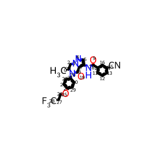 C[C@H]1Cn2ncc(NC(=O)c3cccc(C#N)c3)c2C(=O)N1c1ccc(OCCC(F)(F)F)cc1